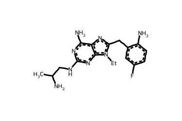 CCn1c(Cc2cc(F)ccc2N)nc2c(N)nc(NCC(C)N)nc21